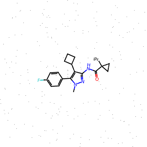 CC(C)C1(C(=O)Nc2nn(C)c(-c3ccc(F)cc3)c2C2CCC2)CC1